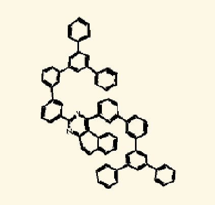 c1ccc(-c2cc(-c3ccccc3)cc(-c3cccc(-c4cccc(-c5nc(-c6cccc(-c7cccc(-c8cc(-c9ccccc9)cc(-c9ccccc9)c8)c7)c6)c6c(ccc7ccccc76)n5)c4)c3)c2)cc1